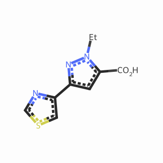 CCn1nc(-c2cscn2)cc1C(=O)O